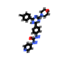 Cc1ccc(-c2nc(-c3ccc(NC(=O)Nc4ccncc4)cc3)nc(N3CCOCC3)n2)cc1